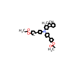 C=CC(=O)Oc1ccc(-c2ccc(N(c3ccc(-c4ccc(OC(=O)C=C)cc4)cc3)c3ccc4c(c3)-c3ccccc3C4(C)C)cc2)cc1